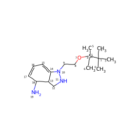 CC(C)(C)[Si](C)(C)OCCN1NCC2C1=CC=CC2N